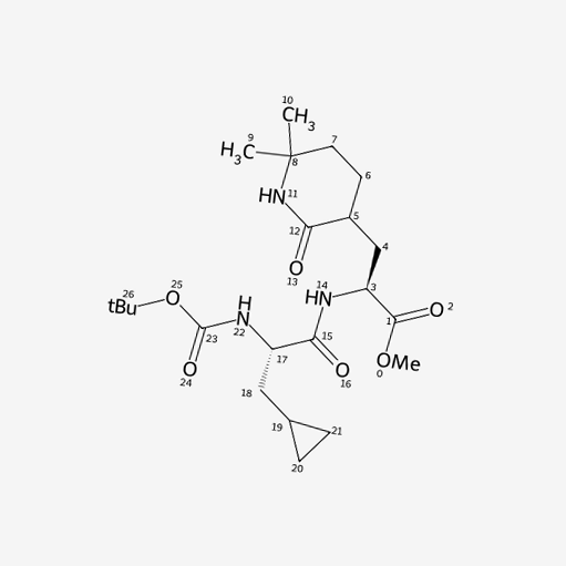 COC(=O)[C@H](CC1CCC(C)(C)NC1=O)NC(=O)[C@H](CC1CC1)NC(=O)OC(C)(C)C